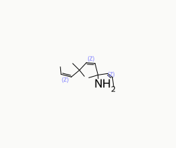 C/C=C\C(C)(C)/C=C\C(C)(N)/C=C\C